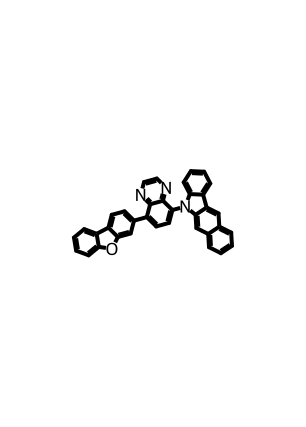 c1ccc2cc3c(cc2c1)c1ccccc1n3-c1ccc(-c2ccc3c(c2)oc2ccccc23)c2nccnc12